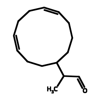 CC(C=O)C1CCC=CCCC=CCCC1